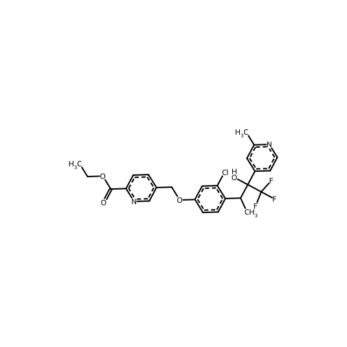 CCOC(=O)c1ccc(COc2ccc(C(C)C(O)(c3ccnc(C)c3)C(F)(F)F)c(Cl)c2)cn1